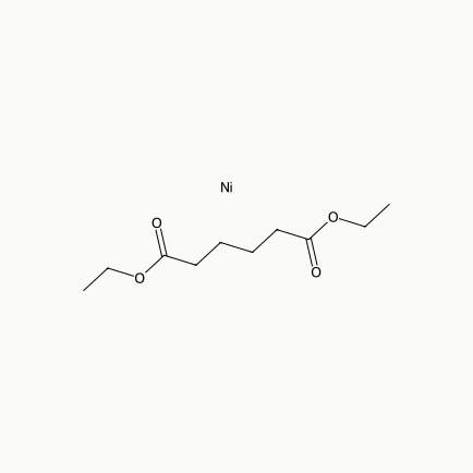 CCOC(=O)CCCCC(=O)OCC.[Ni]